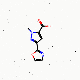 Cn1nc(-c2ncco2)cc1C(=O)O